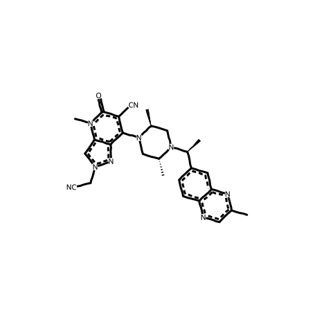 Cc1cnc2ccc([C@H](C)N3C[C@H](C)N(c4c(C#N)c(=O)n(C)c5cn(CC#N)nc45)C[C@H]3C)cc2n1